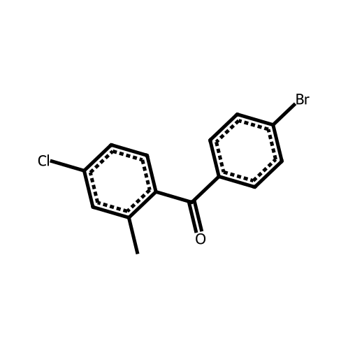 Cc1cc(Cl)ccc1C(=O)c1ccc(Br)cc1